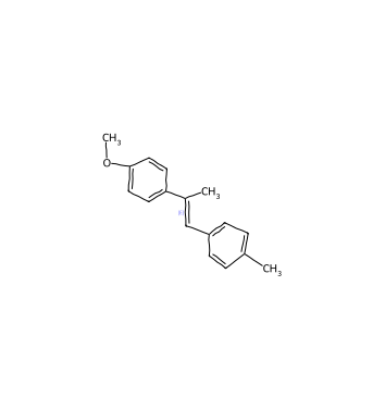 COc1ccc(/C(C)=C/c2ccc(C)cc2)cc1